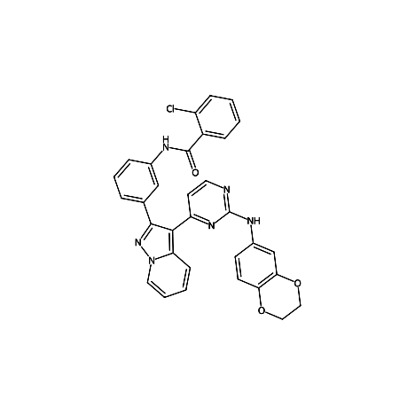 O=C(Nc1cccc(-c2nn3ccccc3c2-c2ccnc(Nc3ccc4c(c3)OCCO4)n2)c1)c1ccccc1Cl